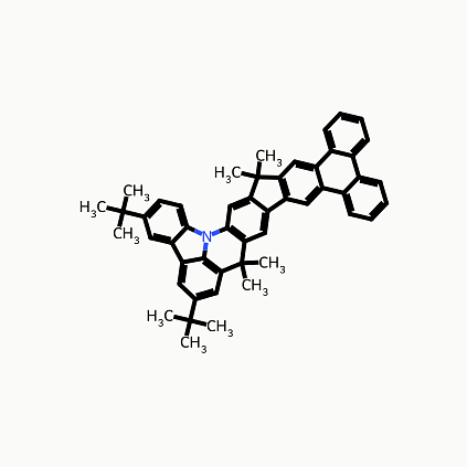 CC(C)(C)c1ccc2c(c1)c1cc(C(C)(C)C)cc3c1n2-c1cc2c(cc1C3(C)C)-c1cc3c4ccccc4c4ccccc4c3cc1C2(C)C